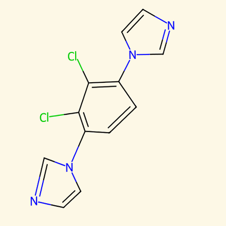 Clc1c(-n2ccnc2)ccc(-n2ccnc2)c1Cl